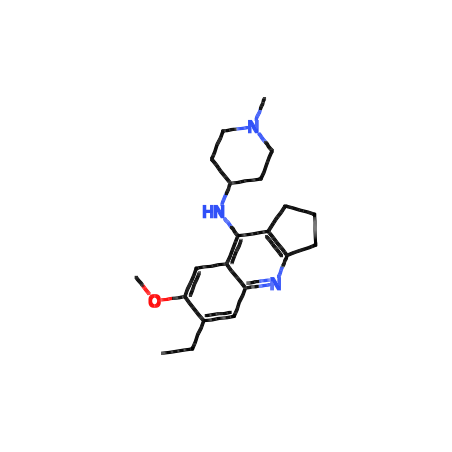 CCc1cc2nc3c(c(NC4CCN(C)CC4)c2cc1OC)CCC3